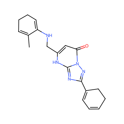 CC1=CCCC=C1NCc1cc(=O)n2nc(C3=CC=CCC3)nc2[nH]1